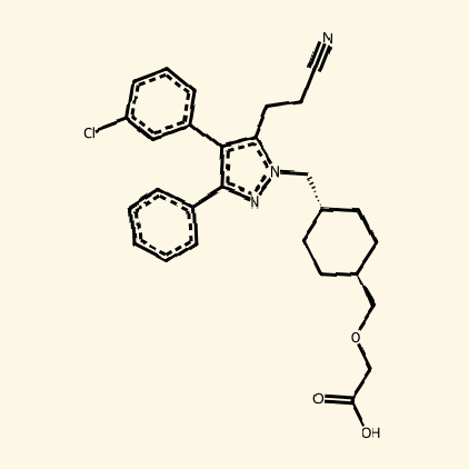 N#CCCc1c(-c2cccc(Cl)c2)c(-c2ccccc2)nn1C[C@H]1CC[C@H](COCC(=O)O)CC1